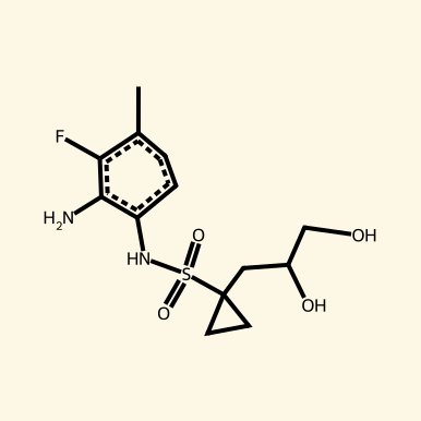 Cc1ccc(NS(=O)(=O)C2(CC(O)CO)CC2)c(N)c1F